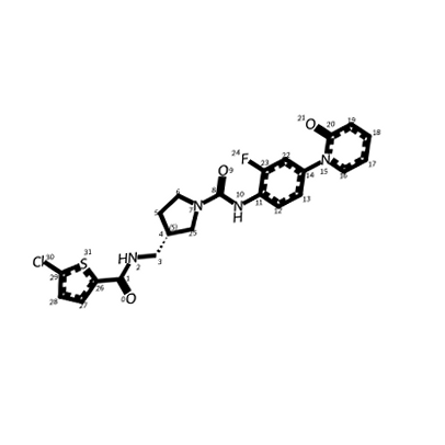 O=C(NC[C@@H]1CCN(C(=O)Nc2ccc(-n3ccccc3=O)cc2F)C1)c1ccc(Cl)s1